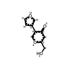 O=c1cc(CO)occ1-c1ccoc1